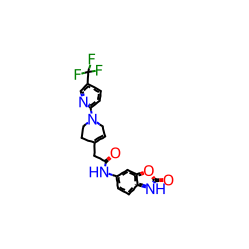 O=C(CC1=CCN(c2ccc(C(F)(F)F)cn2)CC1)Nc1ccc2[nH]c(=O)oc2c1